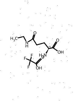 CCNC(=O)CC[C@H](N)C(=O)O.O=C(O)C(F)(F)F